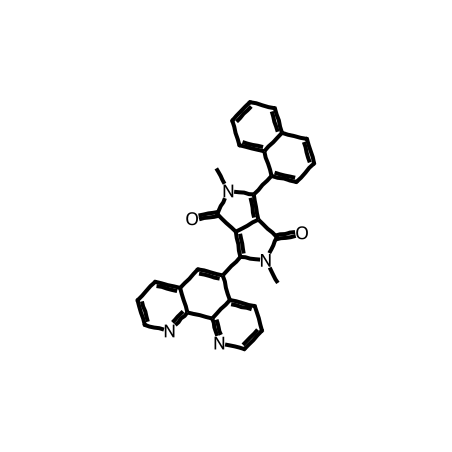 CN1C(=O)C2=C(c3cc4cccnc4c4ncccc34)N(C)C(=O)C2=C1c1cccc2ccccc12